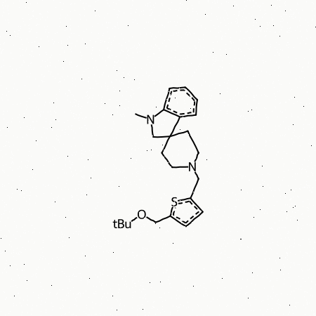 CN1CC2(CCN(Cc3ccc(COC(C)(C)C)s3)CC2)c2ccccc21